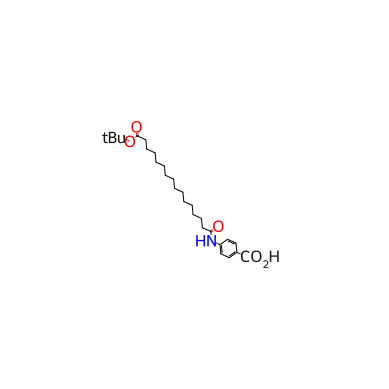 CC(C)(C)OC(=O)CCCCCCCCCCCCCCC(=O)Nc1ccc(C(=O)O)cc1